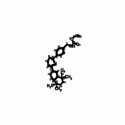 CC(C)(C)OC(=O)NCc1ccc(-c2cccc(-c3ccc4c(c3)C(C)(C)CCC4(C)C)n2)cc1